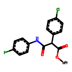 CCCOC(=O)C(C(=O)Nc1ccc(F)cc1)c1ccc(Cl)cc1